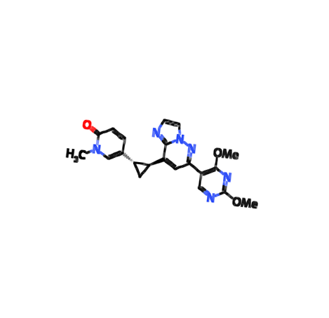 COc1ncc(-c2cc([C@H]3C[C@@H]3c3ccc(=O)n(C)c3)c3nccn3n2)c(OC)n1